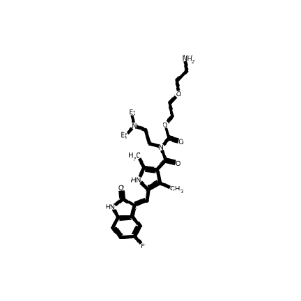 CCN(CC)CCN(C(=O)OCCOCCN)C(=O)c1c(C)[nH]c(/C=C2\C(=O)Nc3ccc(F)cc32)c1C